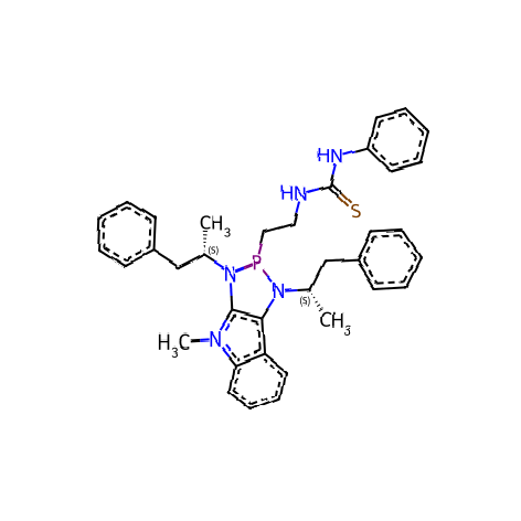 C[C@@H](Cc1ccccc1)N1c2c(n(C)c3ccccc23)N([C@@H](C)Cc2ccccc2)P1CCNC(=S)Nc1ccccc1